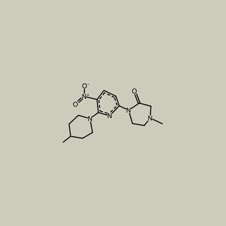 CC1CCN(c2nc(N3CCN(C)CC3=O)ccc2[N+](=O)[O-])CC1